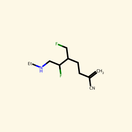 C=C(C#N)CCC(CF)C(F)CNCC